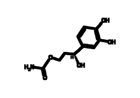 NC(=O)OCC[C@@H](O)c1ccc(O)c(O)c1